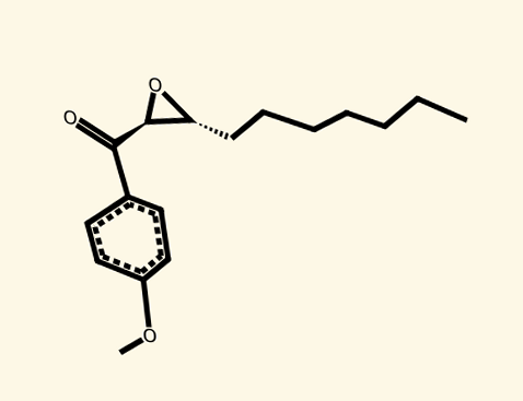 CCCCCCC[C@H]1O[C@@H]1C(=O)c1ccc(OC)cc1